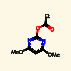 CCC(=O)Oc1nc(OC)cc(OC)n1